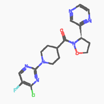 O=C(C1CCN(c2ncc(F)c(Cl)n2)CC1)N1OCC[C@H]1c1cnccn1